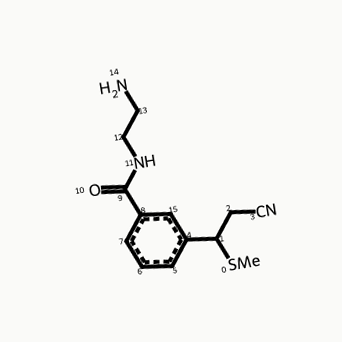 CSC(CC#N)c1cccc(C(=O)NCCN)c1